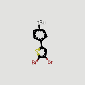 CC(C)(C)c1ccc(-c2cc(Br)c(Br)s2)cc1